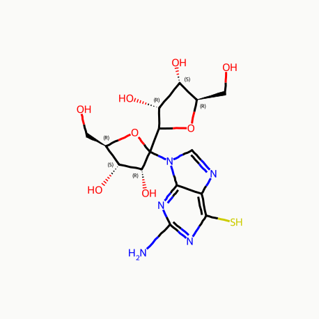 Nc1nc(S)c2ncn(C3(C4O[C@H](CO)[C@@H](O)[C@H]4O)O[C@H](CO)[C@@H](O)[C@H]3O)c2n1